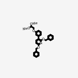 COC(COc1cccc(-c2ccc(OCc3ccccc3)nc2OCc2ccccc2)c1)OC